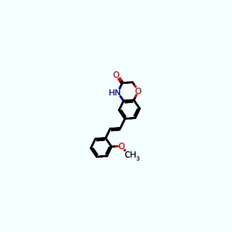 COc1ccccc1C=Cc1ccc2c(c1)NC(=O)CO2